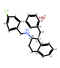 Br.Fc1ccc(CN[C@@H]2CCc3ccccc3[C@@H]2Cc2ccccc2)cc1